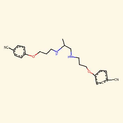 CC(CNCCCOc1ccc(C#N)cc1)NCCCOc1ccc(C#N)cc1